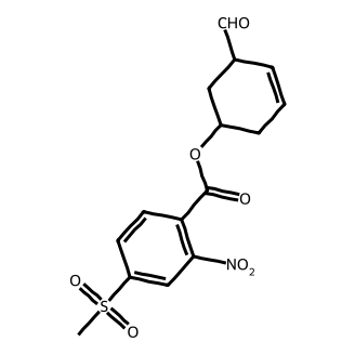 CS(=O)(=O)c1ccc(C(=O)OC2CC=CC(C=O)C2)c([N+](=O)[O-])c1